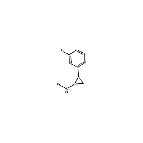 CCNC1CC1c1cccc(F)c1